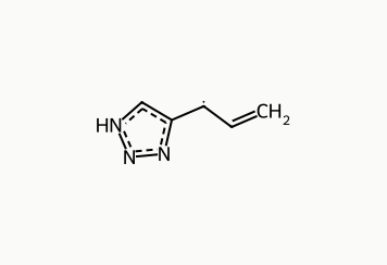 C=C[CH]c1c[nH]nn1